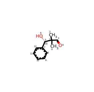 CC(C)(C=O)[C@@H](O)c1ccccc1